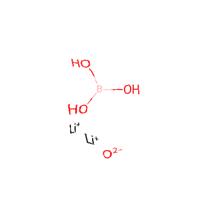 OB(O)O.[Li+].[Li+].[O-2]